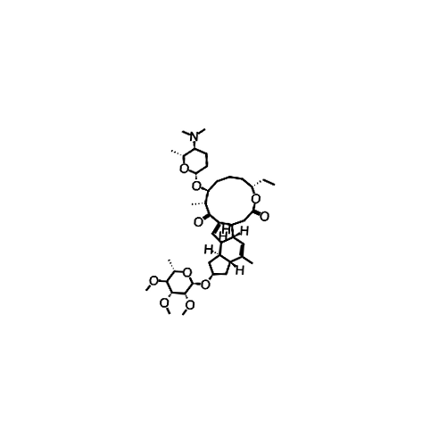 CC[C@H]1CCC[C@H](O[C@H]2CC[C@H](N(C)C)[C@@H](C)O2)[C@@H](C)C(=O)C2=C[C@@H]3[C@@H](C=C(C)[C@@H]4C[C@@H](O[C@@H]5O[C@@H](C)[C@H](OC)[C@@H](OC)[C@H]5OC)C[C@@H]34)[C@@H]2CC(=O)O1